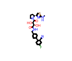 CNc1nc([C@H]2CCCN2C(=O)[C@H](O)[C@@H](O)C(=O)NCc2ccc(-c3ccc(F)cc3C#N)cc2)cs1